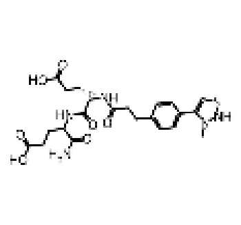 CN1NSC=C1c1ccc(CCC(=O)N[C@@H](CCC(=O)O)C(=O)NC(CCC(=O)O)C(N)=O)cc1